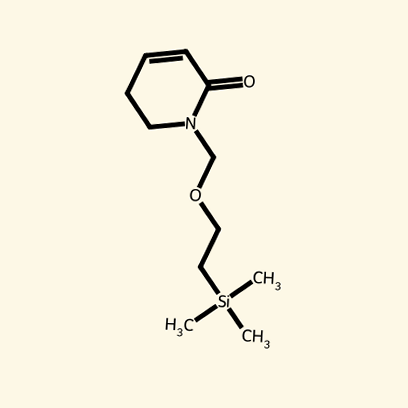 C[Si](C)(C)CCOCN1CCC=CC1=O